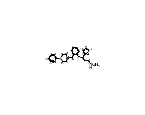 CNCCC(Oc1ccccc1CN1CCN(c2ccccn2)CC1)c1cccs1